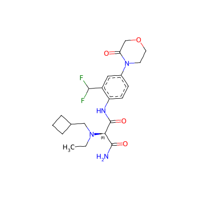 CCN(CC1CCC1)[C@H](C(N)=O)C(=O)Nc1ccc(N2CCOCC2=O)cc1C(F)F